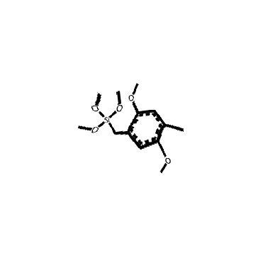 COc1cc(C[Si](OC)(OC)OC)c(OC)cc1C